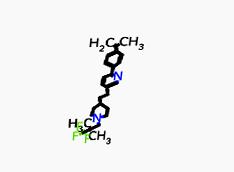 C=C(C)c1ccc(-c2ccc(CCC3CCN(CC(C)(C)C(F)(F)F)CC3)cn2)cc1